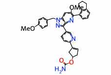 COc1ccc(Cn2nc(-c3ccc(C4=CCC(OC(N)=O)C4)nc3)c3nc(-c4cccc5c4CCC5)c(OC)cc32)cc1